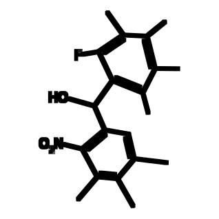 Cc1cc(C(O)c2c(C)c(C)c(C)c(C)c2F)c([N+](=O)[O-])c(C)c1C